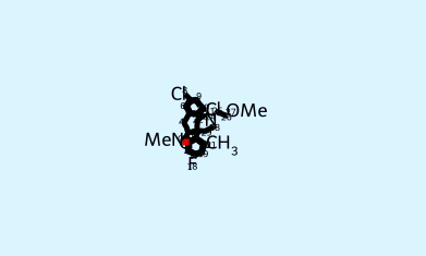 CNC(=O)C(Cc1cc(Cl)cc(Cl)c1)C1(c2ccc(F)cc2C)CCN(CCOC)CC1